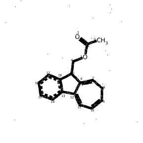 CC(=O)OCC1C2=CCC=CC=C2c2ccccc21